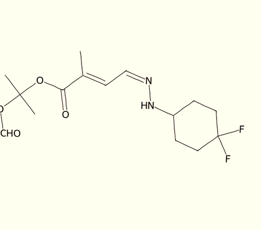 C/C(=C\C=N/NC1CCC(F)(F)CC1)C(=O)OC(C)(C)OC=O